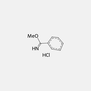 COC(=N)c1ccccc1.Cl